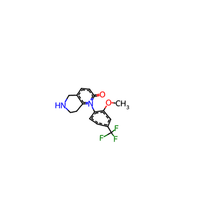 COc1cc(C(F)(F)F)ccc1-n1c2c(ccc1=O)CNCC2